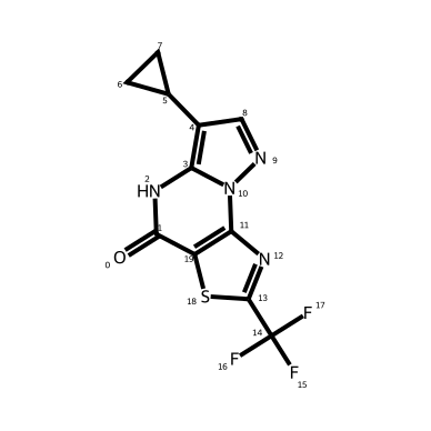 O=c1[nH]c2c(C3CC3)cnn2c2nc(C(F)(F)F)sc12